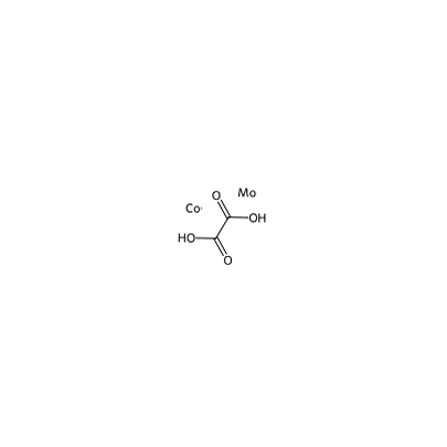 O=C(O)C(=O)O.[Co].[Mo]